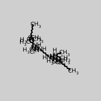 CCCCCCCCON1C(C)(C)CC(C(CCC)Nc2nc(Cl)nc(NCCCCCCNc3nc(Cl)nc(NC(CCC)C4CC(C)(C)N(OCCCCCCCC)C(C)(C)C4)n3)n2)CC1(C)C